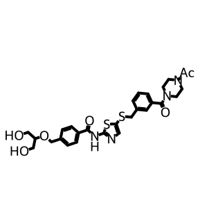 CC(=O)N1CCN(C(=O)c2cccc(CSc3cnc(NC(=O)c4ccc(COC(CO)CO)cc4)s3)c2)CC1